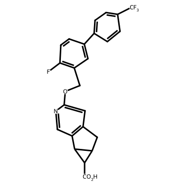 O=C(O)C1C2Cc3cc(OCc4cc(-c5ccc(C(F)(F)F)cc5)ccc4F)ncc3C21